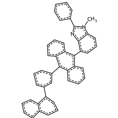 Cn1c(-c2ccccc2)nc2c(-c3c4ccccc4c(-c4cccc(-c5cccc6ccccc56)c4)c4ccccc34)cccc21